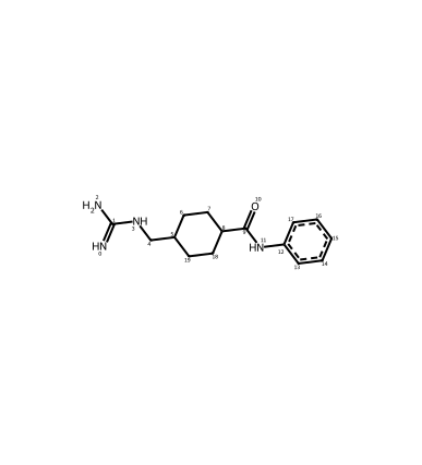 N=C(N)NCC1CCC(C(=O)Nc2ccccc2)CC1